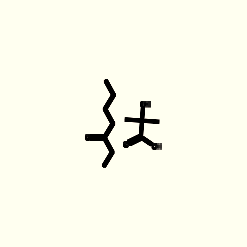 CC(C)(O)C(=O)O.CCCCC(=O)CC